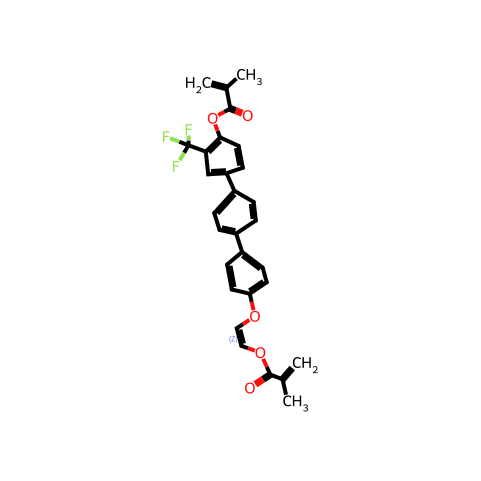 C=C(C)C(=O)O/C=C\Oc1ccc(-c2ccc(-c3ccc(OC(=O)C(=C)C)c(C(F)(F)F)c3)cc2)cc1